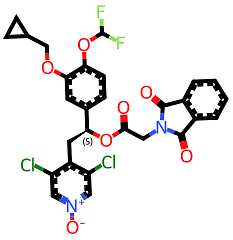 O=C(CN1C(=O)c2ccccc2C1=O)O[C@@H](Cc1c(Cl)c[n+]([O-])cc1Cl)c1ccc(OC(F)F)c(OCC2CC2)c1